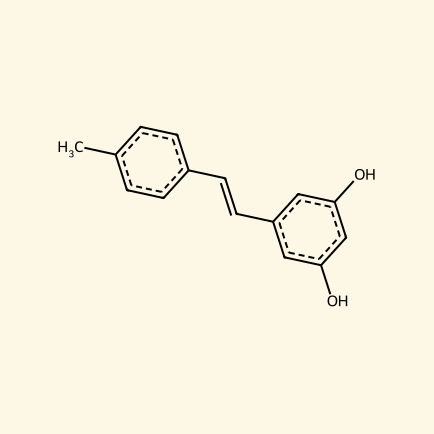 Cc1ccc(C=Cc2cc(O)cc(O)c2)cc1